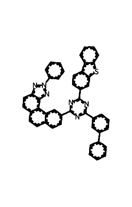 c1ccc(-c2cccc(-c3nc(-c4ccc5c(c4)sc4ccccc45)nc(-c4ccc5ccc6ccc7nn(-c8ccccc8)nc7c6c5c4)n3)c2)cc1